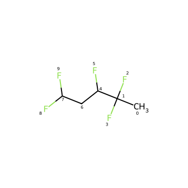 CC(F)(F)C(F)CC(F)F